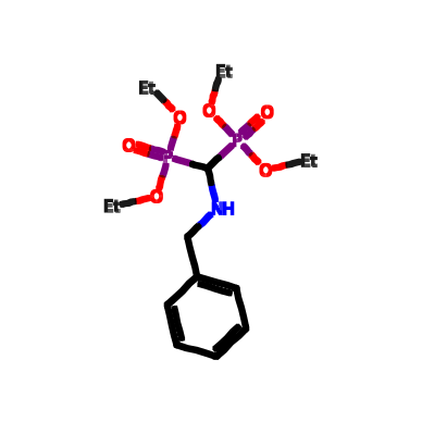 CCOP(=O)(OCC)C(NCc1ccccc1)P(=O)(OCC)OCC